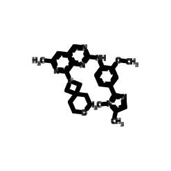 COc1cc(-c2ncc(C)n2C)ccc1Nc1ncc2cc(C)nc(N3CC4(CCOCC4)C3)c2n1